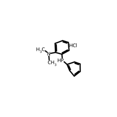 CN(C)c1ccccc1Pc1ccccc1.Cl